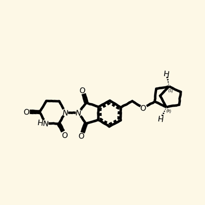 O=C1CCN(N2C(=O)c3ccc(COC4C[C@H]5CC[C@@H]4C5)cc3C2=O)C(=O)N1